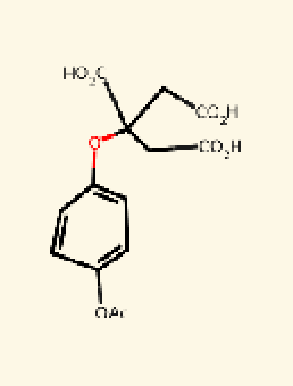 CC(=O)Oc1ccc(OC(CC(=O)O)(CC(=O)O)C(=O)O)cc1